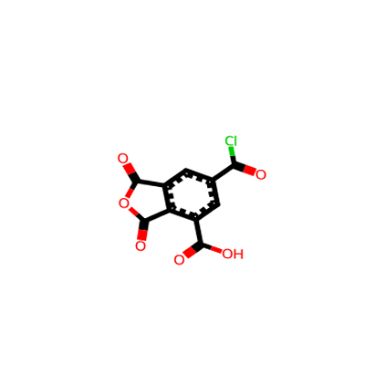 O=C(Cl)c1cc(C(=O)O)c2c(c1)C(=O)OC2=O